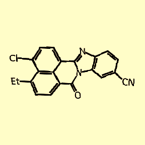 CCc1ccc2c(=O)n3c4cc(C#N)ccc4nc3c3ccc(Cl)c1c23